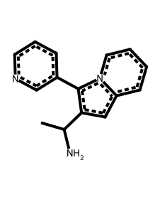 CC(N)c1cc2ccccn2c1-c1cccnc1